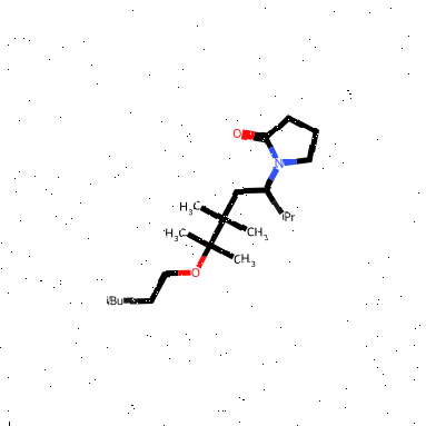 CCC(C)CCOC(C)(C)C(C)(C)CC(C(C)C)N1CCCC1=O